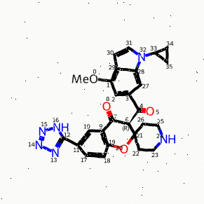 COc1cc(C(=O)[C@@H]2C(=O)c3cc(-c4nnn[nH]4)ccc3OC23CCNCC3)cc2c1ccn2C1CC1